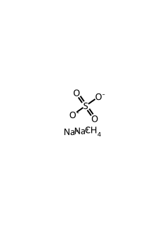 C.O=S(=O)([O-])[O-].[Na+].[Na+]